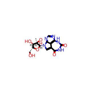 C[C@@]1(O)[C@H](O)[C@@H](CO)O[C@H]1n1cc2c3c(ncnc31)NC(=O)NC2=O